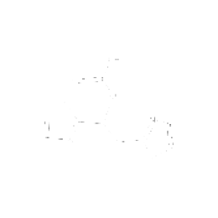 CC(=O)OC(Cc1nccs1)c1nccs1